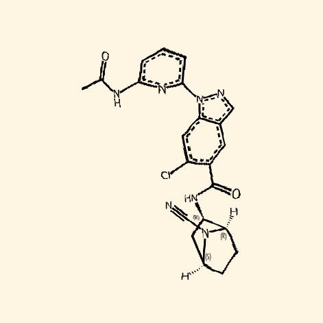 CC(=O)Nc1cccc(-n2ncc3cc(C(=O)N[C@@H]4C[C@@H]5CC[C@H]4N5C#N)c(Cl)cc32)n1